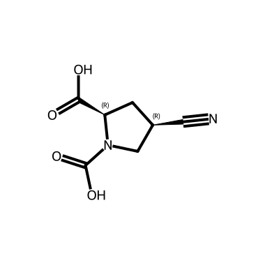 N#C[C@@H]1C[C@H](C(=O)O)N(C(=O)O)C1